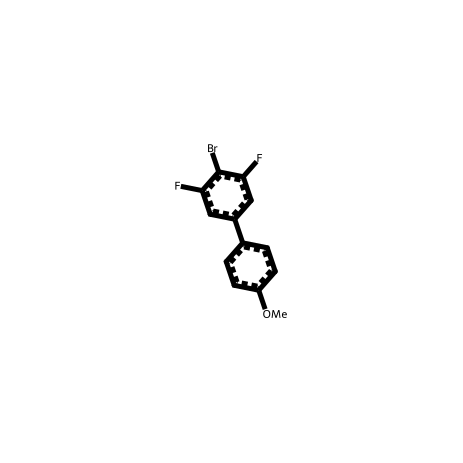 COc1ccc(-c2cc(F)c(Br)c(F)c2)cc1